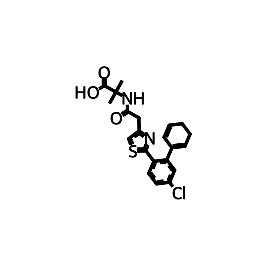 CC(C)(NC(=O)Cc1csc(-c2ccc(Cl)cc2C2=CCCC=C2)n1)C(=O)O